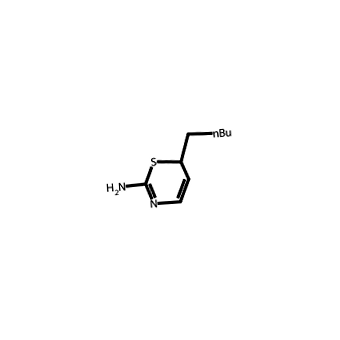 CCCCCC1C=CN=C(N)S1